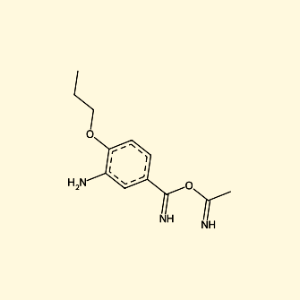 CCCOc1ccc(C(=N)OC(C)=N)cc1N